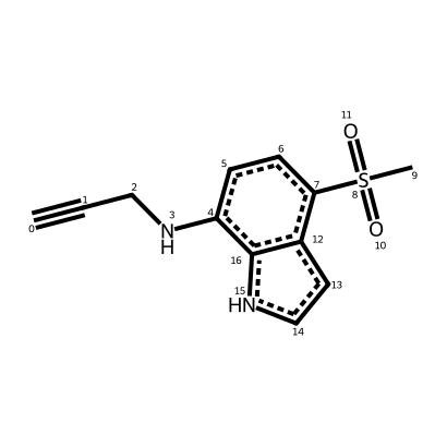 C#CCNc1ccc(S(C)(=O)=O)c2cc[nH]c12